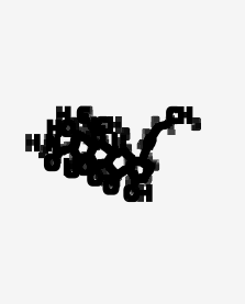 CCCC#Cc1ccc(O)c2c1C[C@H]1C[C@H]3[C@H](N(C)C)C(O)=C(C(N)=O)C(=O)[C@@]3(O)C(O)=C1C2=O